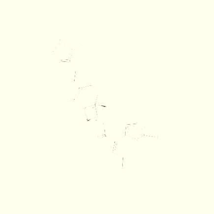 Cn1nnnc1SCC1=C(C(=O)O)N2C(=O)[C@@H](NC(=O)/C(=C/CC(=O)O)c3csc(N)n3)[C@H]2SC1